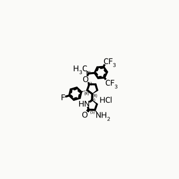 C[C@@H](O[C@H]1CC[C@@H]([C@H]2C[C@H](N)C(=O)N2)[C@@H]1c1ccc(F)cc1)c1cc(C(F)(F)F)cc(C(F)(F)F)c1.Cl